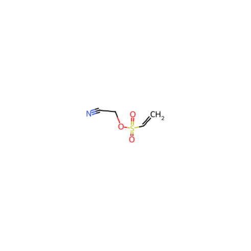 C=CS(=O)(=O)OCC#N